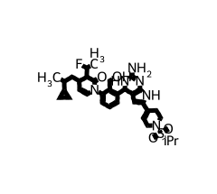 CC(F)C1C(=O)N(c2cccc(C3NC(N)=Nc4[nH]c(C5=CCN(S(=O)(=O)C(C)C)CC5)cc43)c2CO)C=CC1CC(C)C1CC1